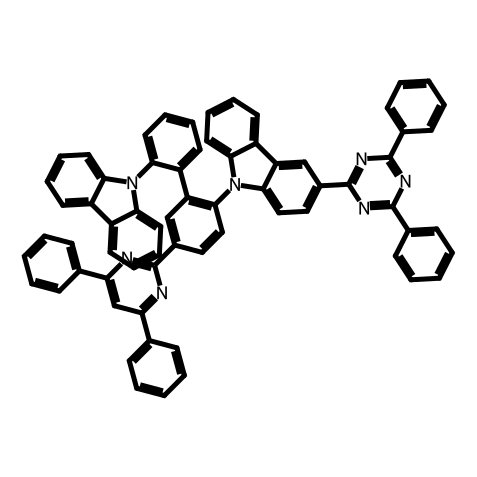 c1ccc(-c2cc(-c3ccccc3)nc(-c3ccc(-n4c5ccccc5c5cc(-c6nc(-c7ccccc7)nc(-c7ccccc7)n6)ccc54)c(-c4ccccc4-n4c5ccccc5c5ccccc54)c3)n2)cc1